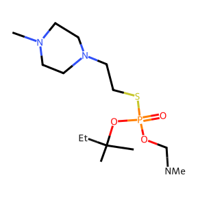 CCC(C)(C)OP(=O)(OCNC)SCCN1CCN(C)CC1